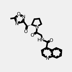 Cc1nc(C(=O)[C@@H]2CCCN2C(=O)CNC(=O)c2ccnc3ccccc23)no1